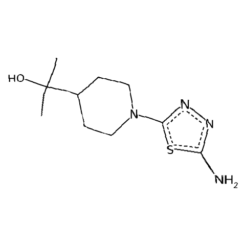 CC(C)(O)C1CCN(c2nnc(N)s2)CC1